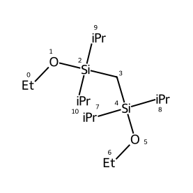 CCO[Si](C[Si](OCC)(C(C)C)C(C)C)(C(C)C)C(C)C